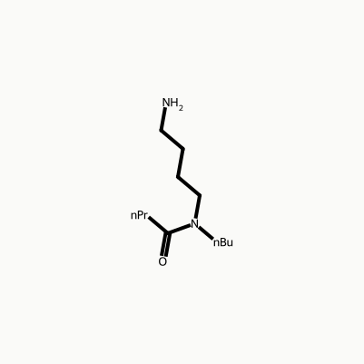 CCCCN(CCCCN)C(=O)CCC